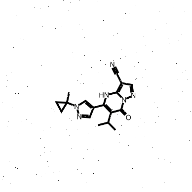 CC(C)c1c(-c2cnn(C3(C)CC3)c2)[nH]c2c(C#N)cnn2c1=O